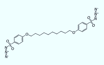 [N-]=[N+]=NS(=O)(=O)c1ccc(OCCCCCCCCCCOc2ccc(S(=O)(=O)N=[N+]=[N-])cc2)cc1